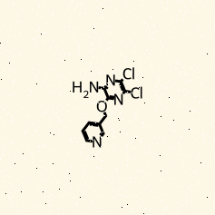 Nc1nc(Cl)c(Cl)nc1OCc1cccnc1